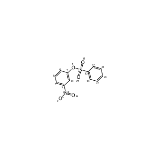 O=[N+]([O-])c1cccc(OS(=O)(=O)c2ccccc2)c1